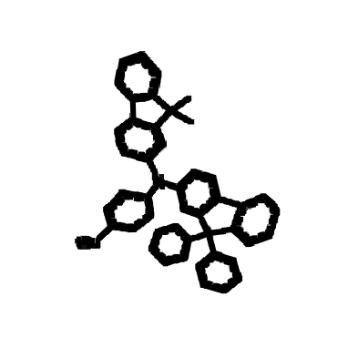 CC(C)(C)c1ccc(N(c2ccc3c(c2)C(C)(C)c2ccccc2-3)c2ccc3c(c2)C(c2ccccc2)(c2ccccc2)c2ccccc2-3)cc1